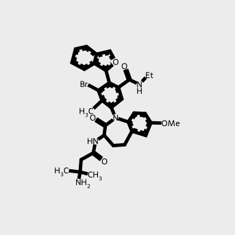 CCNC(=O)c1cc(N2C(=O)C(NC(=O)CC(C)(C)N)CCc3cc(OC)ccc32)c(C)c(Br)c1-c1occ2ccccc12